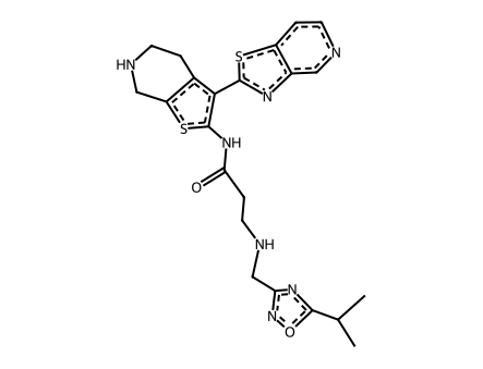 CC(C)c1nc(CNCCC(=O)Nc2sc3c(c2-c2nc4cnccc4s2)CCNC3)no1